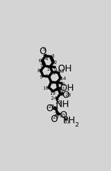 CC12C=CC(=O)C=C1CCC1C2C(O)CC2(C)C1CCC2(O)C(=O)CNC(=O)C(=O)OP